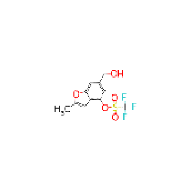 Cc1cc2c(OS(=O)(=O)C(F)(F)F)cc(CO)cc2o1